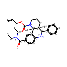 C=CCOC(=O)N1CCC[C@H]2C(c3ccccc3)Nc3ccc(C(=O)N(CC)CC)cc3[C@H]21